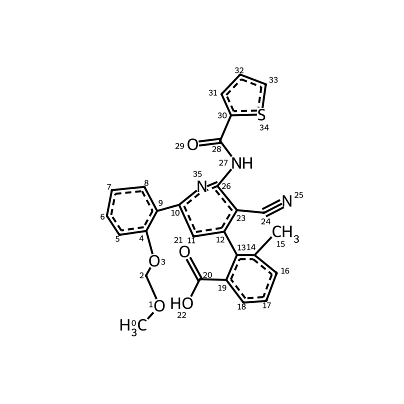 COCOc1ccccc1-c1cc(-c2c(C)cccc2C(=O)O)c(C#N)c(NC(=O)c2cccs2)n1